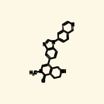 Cn1cc(-c2ccc3c(c2)ncn3-c2ccc3cnccc3c2)c2c(c1=O)CCNC2